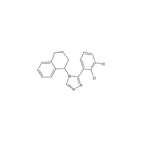 Clc1cccc(-c2nncn2C2CCCc3ccccc32)c1Cl